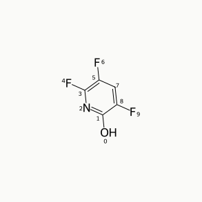 Oc1nc(F)c(F)cc1F